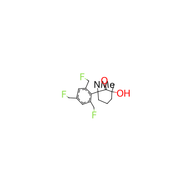 CNC1(c2c(CF)cc(CF)cc2CF)CCCC(C)(O)C1=O